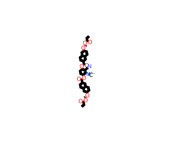 [C-]#[N+]c1c(OC(=O)c2ccc3cc(OCOC(=O)C=C)ccc3c2)ccc(OC(=O)c2ccc3cc(OCOC(=O)C=C)ccc3c2)c1C#N